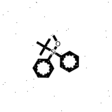 [CH2]O[Si](c1ccccc1)(c1ccccc1)C(C)(C)C